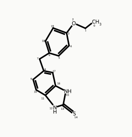 CCOc1ccc(Cc2ccc3[nH]c(=S)[nH]c3c2)cc1